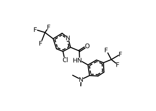 CN(C)c1ccc(C(F)(F)F)cc1NC(=O)c1ncc(C(F)(F)F)cc1Cl